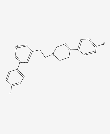 Fc1ccc(C2=CCN(CCc3cncc(-c4ccc(F)cc4)c3)CC2)cc1